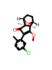 COC1=C(c2cc(Cl)ccc2C)C(=O)[C@@]2(C)[C@@H]3CC[C@@H](O3)[C@@]12C